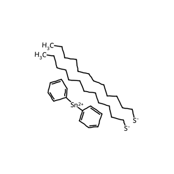 CCCCCCCCCCCC[S-].CCCCCCCCCCCC[S-].c1cc[c]([Sn+2][c]2ccccc2)cc1